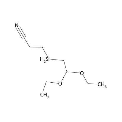 CCOC(C[SiH2]CCC#N)OCC